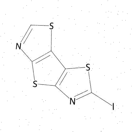 Ic1nc2sc3ncsc3c2s1